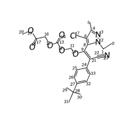 CCn1nc(C)c(Cl)c1/C(OCOC(=O)OCC(=O)OC)=C(\C#N)c1ccc(C(C)(C)C)cc1